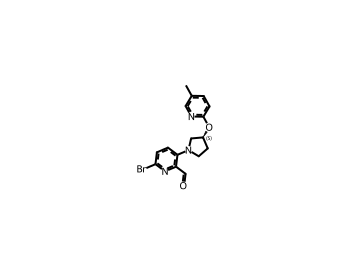 Cc1ccc(O[C@H]2CCN(c3ccc(Br)nc3C=O)C2)nc1